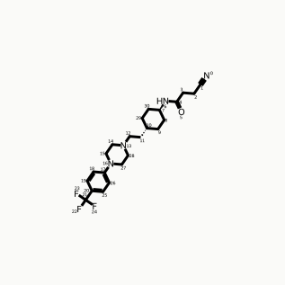 N#CCCC(=O)N[C@H]1CC[C@H](CCN2CCN(c3ccc(C(F)(F)F)cc3)CC2)CC1